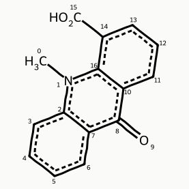 Cn1c2ccccc2c(=O)c2cccc(C(=O)O)c21